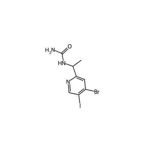 CC(NC(N)=O)c1cc(Br)c(I)cn1